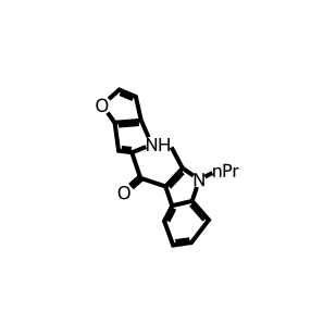 CCCn1c(C)c(C(=O)c2cc3occc3[nH]2)c2ccccc21